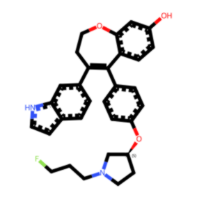 Oc1ccc2c(c1)OCCC(c1ccc3cc[nH]c3c1)=C2c1ccc(O[C@H]2CCN(CCCF)C2)cc1